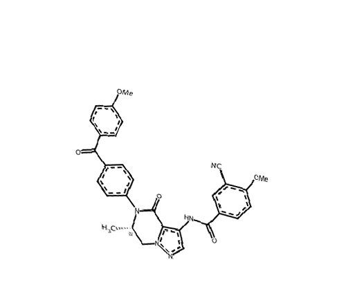 COc1ccc(C(=O)c2ccc(N3C(=O)c4c(NC(=O)c5ccc(OC)c(C#N)c5)cnn4C[C@@H]3C)cc2)cc1